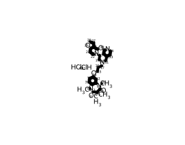 CN1C(=O)C(C)(C)C(=O)N(C)c2cc(OCCCN(CCn3ccc4occc4c3=O)Cc3ccncc3)ccc21.Cl.Cl